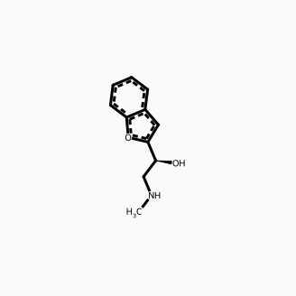 CNC[C@H](O)c1cc2ccccc2o1